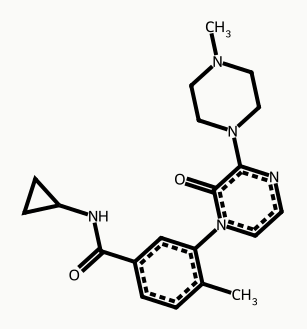 Cc1ccc(C(=O)NC2CC2)cc1-n1ccnc(N2CCN(C)CC2)c1=O